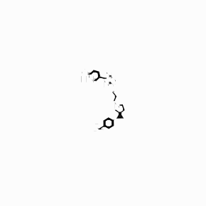 Cn1c(SCCCN2CCC3(C[C@H]3c3ccc(C(F)(F)F)cc3)C2)nnc1-c1ccc(=O)[nH]c1